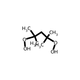 CC(C)(CC(C)(C)OO)OO